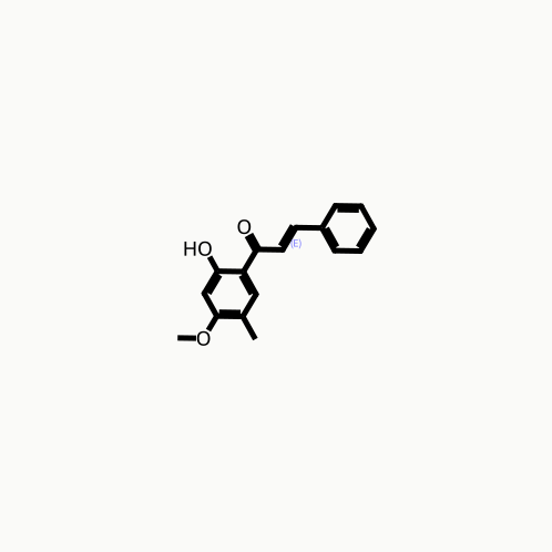 COc1cc(O)c(C(=O)/C=C/c2ccccc2)cc1C